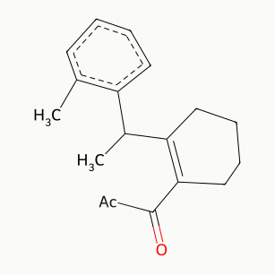 CC(=O)C(=O)C1=C(C(C)c2ccccc2C)CCCC1